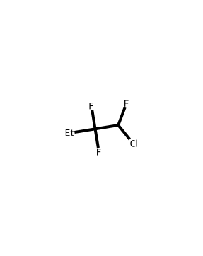 CCC(F)(F)C(F)Cl